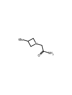 CC(C)(C)C1CN(CC(N)=O)C1